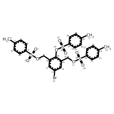 Cc1ccc(S(=O)(=O)OCc2cc(Br)cc(COS(=O)(=O)c3ccc(C)cc3)c2OS(=O)(=O)c2ccc(C)cc2)cc1